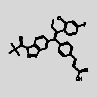 CC/C(=C(/c1ccc(/C=C/C(=O)O)cc1)c1ccc2c(cnn2C(=O)C(C)(C)C)c1)c1ccc(F)cc1Cl